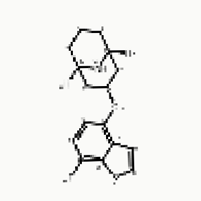 Fc1ccc(O[C@@H]2C[C@H]3CCC[C@@H](C2)N3)c2ccsc12